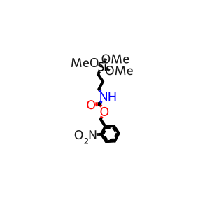 CO[Si](CCCNC(=O)OCc1ccccc1[N+](=O)[O-])(OC)OC